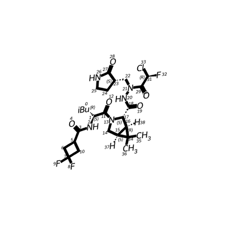 CC[C@@H](C)[C@H](NC(=O)C1CC(F)(F)C1)C(=O)N1C[C@H]2[C@@H]([C@H]1C(=O)NN(C[C@@H]1CCNC1=O)C(=O)[C@H](F)Cl)C2(C)C